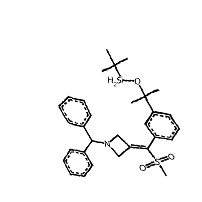 CC(C)(C)[SiH2]OC(C)(C)c1cccc(C(=C2CN(C(c3ccccc3)c3ccccc3)C2)S(C)(=O)=O)c1